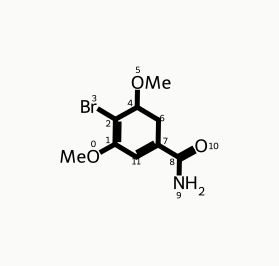 COC1=C(Br)C(OC)CC(C(N)=O)=C1